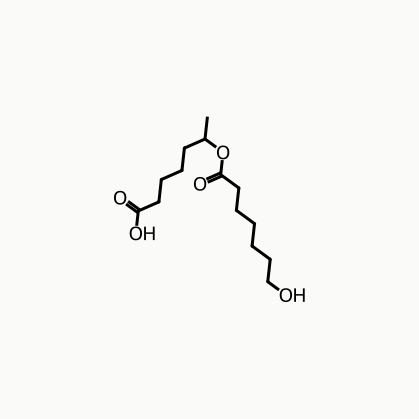 CC(CCCCC(=O)O)OC(=O)CCCCCCO